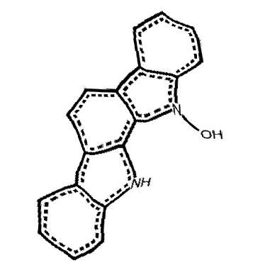 On1c2ccccc2c2ccc3c4ccccc4[nH]c3c21